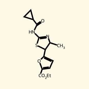 CCOC(=O)c1ccc(C2SC(NC(=O)C3CC3)=NC2C)o1